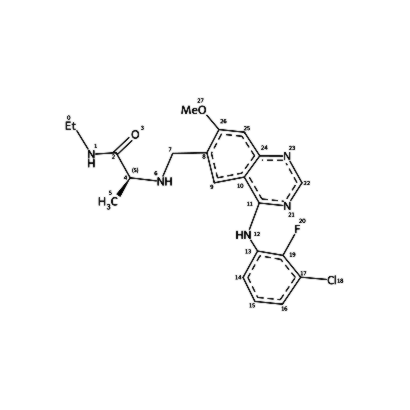 CCNC(=O)[C@H](C)NCc1cc2c(Nc3cccc(Cl)c3F)ncnc2cc1OC